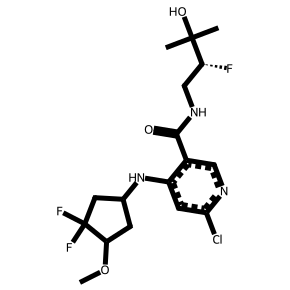 COC1CC(Nc2cc(Cl)ncc2C(=O)NC[C@@H](F)C(C)(C)O)CC1(F)F